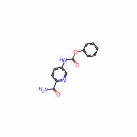 NC(=O)c1ccc(NC(=O)Oc2ccccc2)cn1